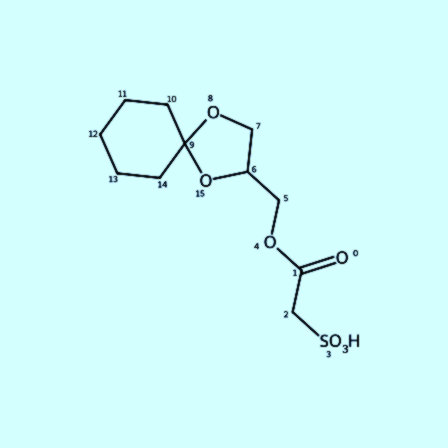 O=C(CS(=O)(=O)O)OCC1COC2(CCCCC2)O1